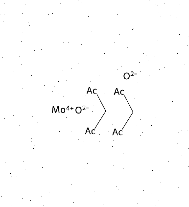 CC(=O)CC(C)=O.CC(=O)CC(C)=O.[Mo+4].[O-2].[O-2]